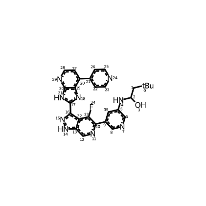 CC(C)(C)CC(O)Nc1cncc(-c2ncc3[nH]nc(-c4nc5c(-c6ccncc6)ccnc5[nH]4)c3c2F)c1